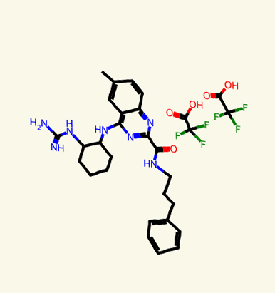 Cc1ccc2nc(C(=O)NCCCc3ccccc3)nc(NC3CCCCC3NC(=N)N)c2c1.O=C(O)C(F)(F)F.O=C(O)C(F)(F)F